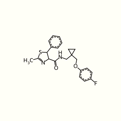 CC1=NC(C(=O)NCC2(COc3ccc(F)cc3)CC2)C(c2ccccc2)S1